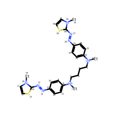 CCN(CCCCN(CC)c1ccc(N=NC2SC=CN2CC)cc1)c1ccc(N=NC2SC=CN2CC)cc1